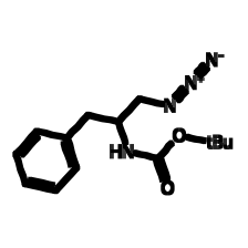 CC(C)(C)OC(=O)NC(CN=[N+]=[N-])Cc1ccccc1